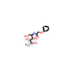 C[C@H](O)[C@@H](O)[C@H](O)C(CO)=NC(=O)COc1ccccc1